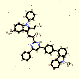 C=Cc1c(/C=C(\C)c2nc(-c3ccccc3)cc(-c3ccc(-c4cccc5c4c4ccccc4n5C)cc3)n2)c2cc(C)ccc2n1-c1ccccc1